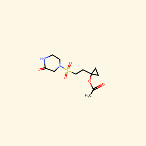 CC(=O)OC1(CCS(=O)(=O)N2CCNC(=O)C2)CC1